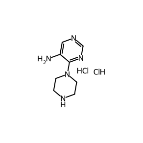 Cl.Cl.Nc1cncnc1N1CCNCC1